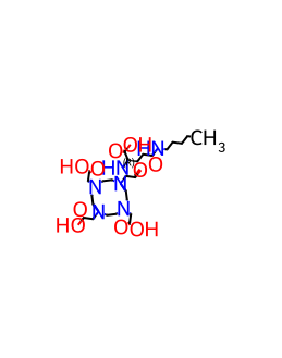 CCCCCNC(=O)CC[C@@H](NC(C=O)N1CCN(CC(=O)O)CCN(CC(=O)O)CCN(CC(=O)O)CC1)C(=O)O